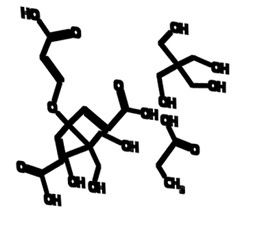 CCC(=O)O.O=C(O)C=COC(C=CC(=O)O)(C=CC(=O)O)C(CO)(CO)CO.OCC(CO)(CO)CO